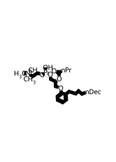 CCCCCCCCCCCCCCc1ccccc1OCC(COP(O)OCC[N+](C)(C)C)OC(=O)CCC